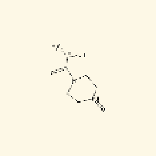 C[C@H](O)C(=O)N1CC[PH](=O)CC1